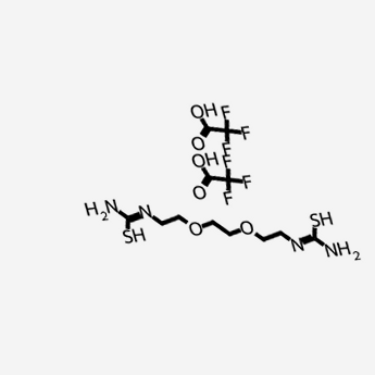 NC(S)=NCCOCCOCCN=C(N)S.O=C(O)C(F)(F)F.O=C(O)C(F)(F)F